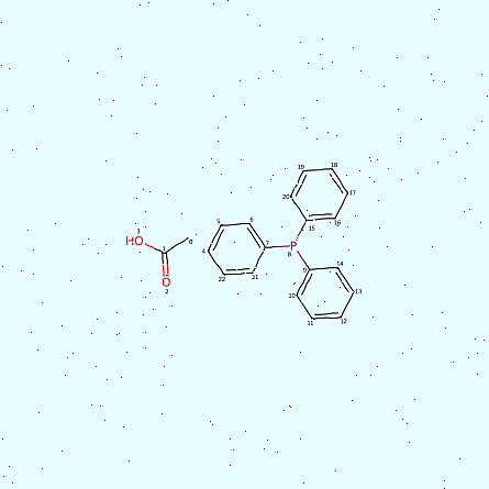 CC(=O)O.c1ccc(P(c2ccccc2)c2ccccc2)cc1